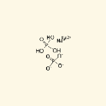 O=P(O)(O)O.O=P([O-])([O-])[O-].[Fe+2].[Na+]